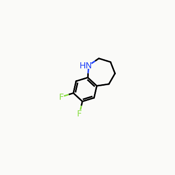 Fc1cc2c(cc1F)NCCCC2